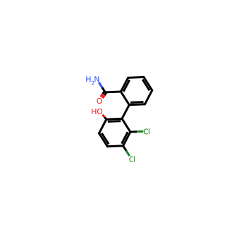 NC(=O)c1ccccc1-c1c(O)ccc(Cl)c1Cl